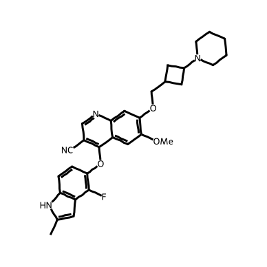 COc1cc2c(Oc3ccc4[nH]c(C)cc4c3F)c(C#N)cnc2cc1OCC1CC(N2CCCCC2)C1